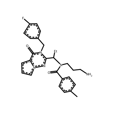 CCC(c1nn2cccc2c(=O)n1Cc1ccc(F)cc1)N(CCCN)C(=O)c1ccc(C)cc1